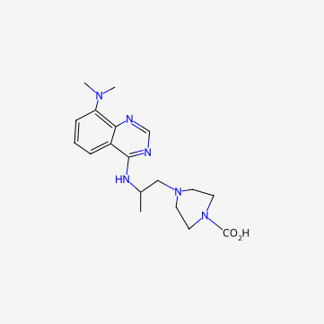 CC(CN1CCN(C(=O)O)CC1)Nc1ncnc2c(N(C)C)cccc12